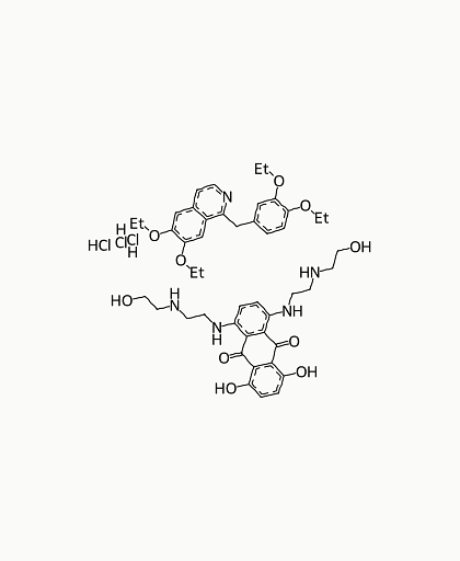 CCOc1ccc(Cc2nccc3cc(OCC)c(OCC)cc23)cc1OCC.Cl.Cl.Cl.O=C1c2c(O)ccc(O)c2C(=O)c2c(NCCNCCO)ccc(NCCNCCO)c21